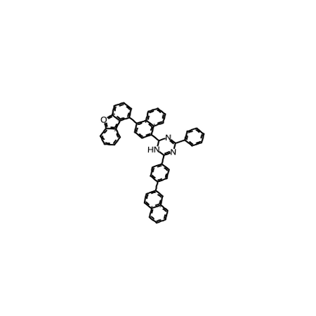 c1ccc(C2=NC(c3ccc(-c4cccc5oc6ccccc6c45)c4ccccc34)NC(c3ccc(-c4ccc5ccccc5c4)cc3)=N2)cc1